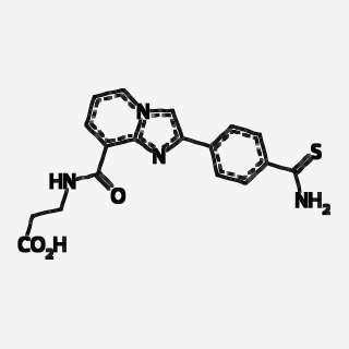 NC(=S)c1ccc(-c2cn3cccc(C(=O)NCCC(=O)O)c3n2)cc1